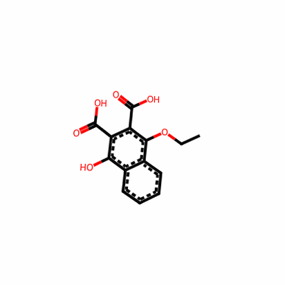 CCOc1c(C(=O)O)c(C(=O)O)c(O)c2ccccc12